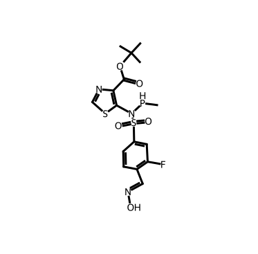 CPN(c1scnc1C(=O)OC(C)(C)C)S(=O)(=O)c1ccc(/C=N/O)c(F)c1